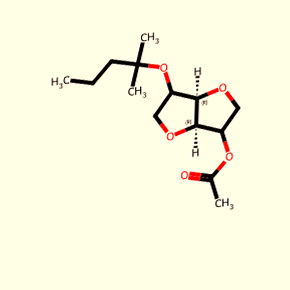 CCCC(C)(C)OC1CO[C@@H]2C(OC(C)=O)CO[C@H]12